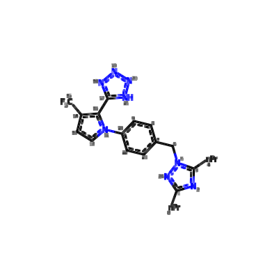 CCCc1nc(CCC)n(Cc2ccc(-n3ccc(C(F)(F)F)c3-c3nnn[nH]3)cc2)n1